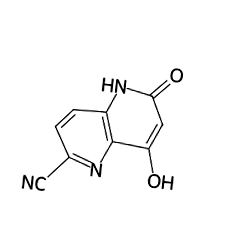 N#Cc1ccc2[nH]c(=O)cc(O)c2n1